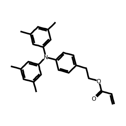 C=CC(=O)OCCc1ccc(N(c2cc(C)cc(C)c2)c2cc(C)cc(C)c2)cc1